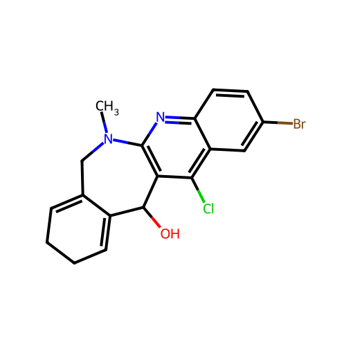 CN1CC2=CCCC=C2C(O)c2c1nc1ccc(Br)cc1c2Cl